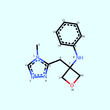 Cn1cnnc1CC1(Nc2ccccc2)COC1